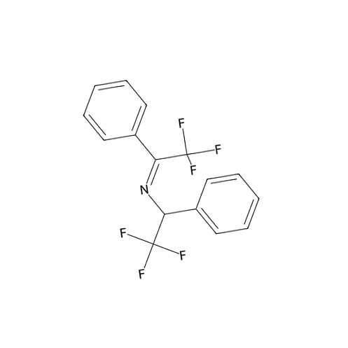 FC(F)(F)C(=NC(c1ccccc1)C(F)(F)F)c1ccccc1